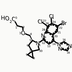 O=C(O)CCOC[C@@H]1CC2(CC2)CN1c1cc(-n2cncn2)c2cc(Br)c(Cl)c(Cl)c2n1